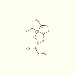 C=CC(=O)OC[Si](C(C)C)(C(C)C)C(C)C